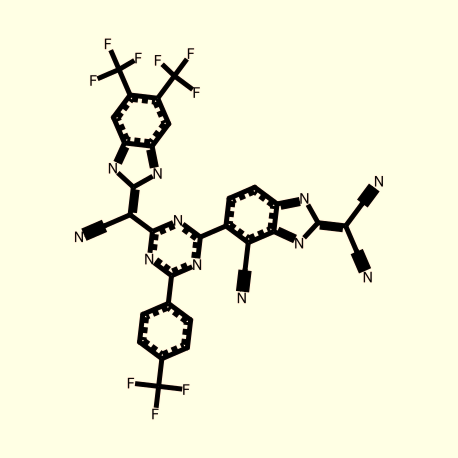 N#CC(C#N)=C1N=c2ccc(-c3nc(C(C#N)=C4N=c5cc(C(F)(F)F)c(C(F)(F)F)cc5=N4)nc(-c4ccc(C(F)(F)F)cc4)n3)c(C#N)c2=N1